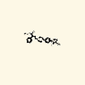 COC(=O)C(CCN1CCN(c2ccc(-n3cnn(C(C)C)c3=O)cc2)CC1)c1ccccc1